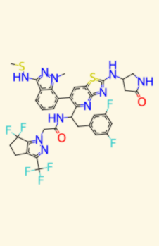 CSNc1nn(C)c2c(-c3cc4sc(NC5CNC(=O)C5)nc4nc3C(Cc3cc(F)cc(F)c3)NC(=O)Cn3nc(C(F)(F)F)c4c3C(F)(F)CC4)cccc12